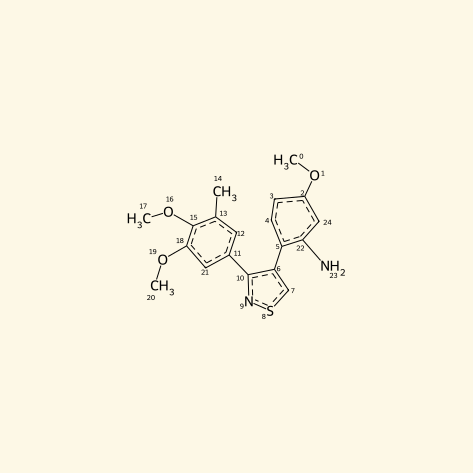 COc1ccc(-c2csnc2-c2cc(C)c(OC)c(OC)c2)c(N)c1